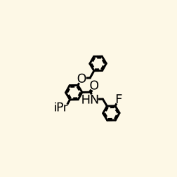 CC(C)c1ccc(OCc2ccccc2)c(C(=O)NCc2ccccc2F)c1